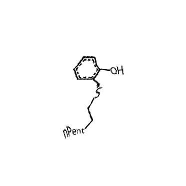 CCCCCCCSc1ccccc1O